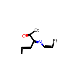 C/C=C/C(=N\C=C/CC)C(=O)CC